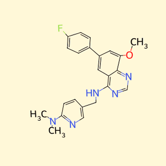 COc1cc(-c2ccc(F)cc2)cc2c(NCc3ccc(N(C)C)nc3)ncnc12